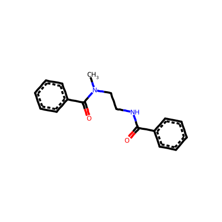 CN(CCNC(=O)c1ccccc1)C(=O)c1ccccc1